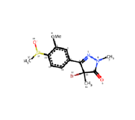 COc1cc(C2=NN(C)C(=O)C2(C)Br)ccc1[S+](C)[O-]